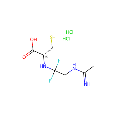 CC(=N)NCC(F)(F)N[C@@H](CS)C(=O)O.Cl.Cl